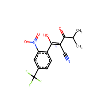 CC(C)C(=O)/C(C#N)=C(\O)c1ccc(C(F)(F)F)cc1[N+](=O)[O-]